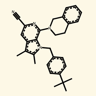 Cc1c(C)n(Cc2ccc(C(C)(C)C)cc2)c2c(N3CCc4ccccc4C3)nc(C#N)cc12